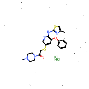 Cc1csc(Nc2ncc(SCC(=O)N3CCN(C)CC3)cc2Oc2ccccc2)n1.Cl.Cl